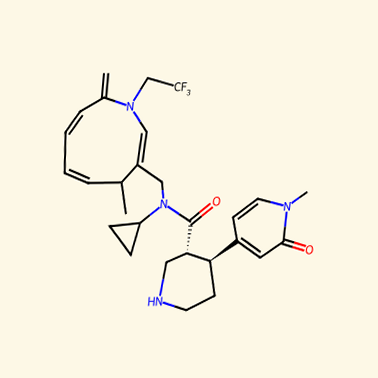 C=C1/C=C\C=C/C(C)/C(CN(C(=O)[C@H]2CNCC[C@@H]2c2ccn(C)c(=O)c2)C2CC2)=C\N1CC(F)(F)F